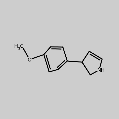 COc1ccc(C2C=CNC2)cc1